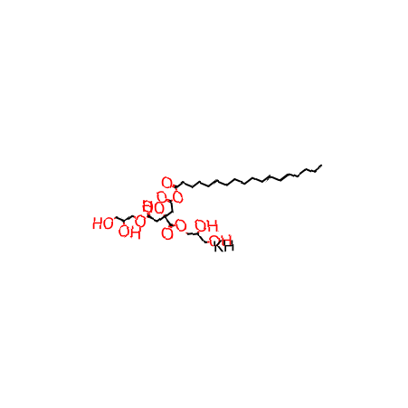 CCCCCCCCCCCCCCCCCC(=O)OC(=O)CC(O)(CC(=O)OCC(O)CO)C(=O)OCC(O)CO.[KH]